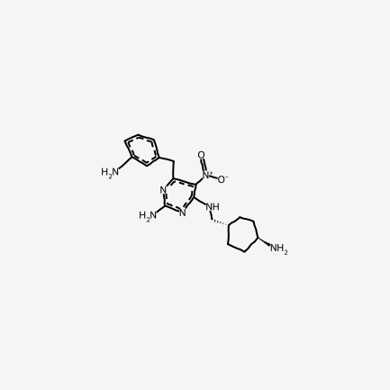 Nc1cccc(Cc2nc(N)nc(NC[C@H]3CC[C@H](N)CC3)c2[N+](=O)[O-])c1